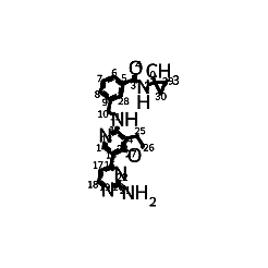 CC1(NC(=O)c2cccc(CNc3ncc(-c4ccnc(N)n4)c4c3CCO4)c2)CC1